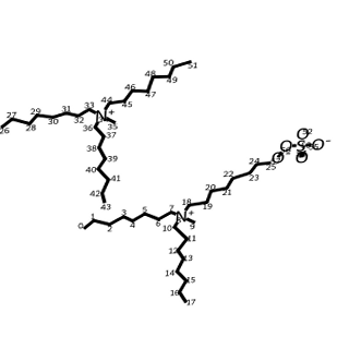 CCCCCCCC[N+](C)(CCCCCCCC)CCCCCCCC.CCCCCCCC[N+](C)(CCCCCCCC)CCCCCCCC.O=S(=O)([O-])O[O-]